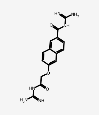 N=C(N)NC(=O)COc1ccc2cc(C(=O)NC(=N)N)ccc2c1